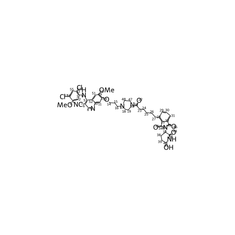 COc1cc(Nc2c(C#N)cnc3cc(OCCCN4CCN(C(=O)CCCCCc5cccc6c5C(=O)N(C5CCC(O)NC5=O)C6=O)CC4)c(OC)cc23)c(Cl)cc1Cl